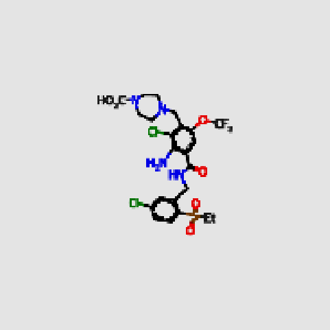 CCS(=O)(=O)c1ccc(Cl)cc1CNC(=O)c1cc(OC(F)(F)F)c(CN2CCN(C(=O)O)CC2)c(Cl)c1N